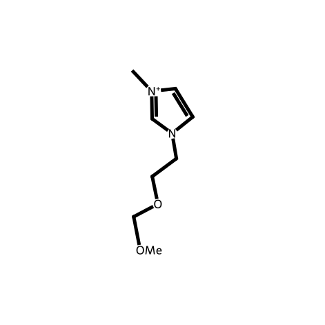 COCOCCn1cc[n+](C)c1